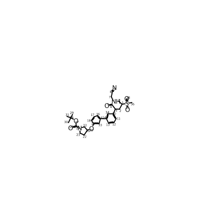 CC(CC(C(=O)NCC#N)c1cccc(-c2cccc(OC3CCN(C(=O)OC(C)(C)C)C3)c2)c1)S(C)(=O)=O